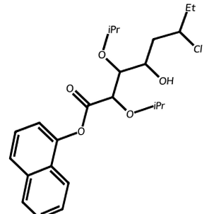 CCC(Cl)CC(O)C(OC(C)C)C(OC(C)C)C(=O)Oc1cccc2ccccc12